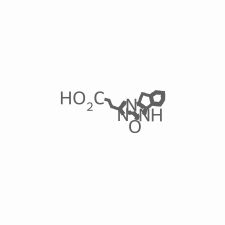 O=C(O)CCc1cn2c3c([nH]c(=O)c2n1)-c1ccccc1C3